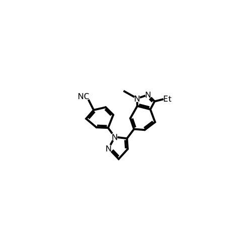 CCc1nn(C)c2cc(-c3ccnn3-c3ccc(C#N)cc3)ccc12